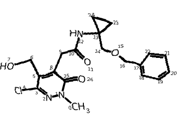 Cn1nc(Cl)c(CO)c(CC(=O)NC2(COCc3ccccc3)CC2)c1=O